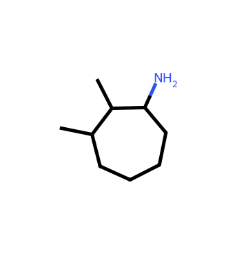 CC1CCCCC(N)C1C